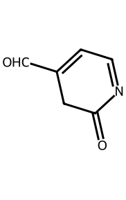 O=CC1=CC=NC(=O)C1